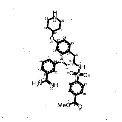 COC(=O)c1ccc(S(=O)(=O)N[C@H](COc2cccc(C(=N)N)c2)Cc2ccc(OC3CCNCC3)cc2)cc1